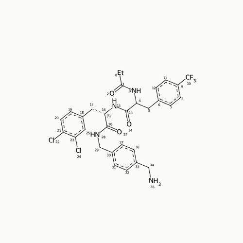 CCC(=O)NC(Cc1ccc(C(F)(F)F)cc1)C(=O)N[C@@H](Cc1ccc(Cl)c(Cl)c1)C(=O)NCc1ccc(CN)cc1